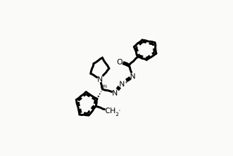 [CH2]c1ccccc1[C@@H](N=[N+]=NC(=O)c1ccccc1)N1CCCC1